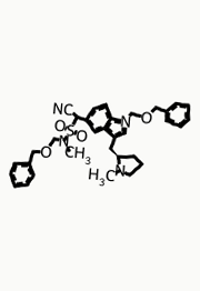 CN1CCC[C@@H]1Cc1cn(COCc2ccccc2)c2ccc(C(C#N)S(=O)(=O)N(C)COCc3ccccc3)cc12